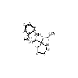 CC(C)CCC1(C(=O)Nc2ccccc2S)CCCCC1